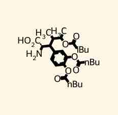 CCCCC(=O)Oc1ccc(C(C(C)C(C)OC(=O)C(C)CC)[C@H](N)C(=O)O)cc1OC(=O)CCCC